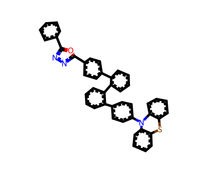 c1ccc(-c2nnc(-c3ccc(-c4ccccc4-c4ccccc4-c4ccc(N5c6ccccc6Sc6ccccc65)cc4)cc3)o2)cc1